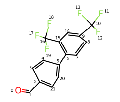 O=Cc1ccc(-c2ccc(C(F)(F)F)cc2C(F)(F)F)cc1